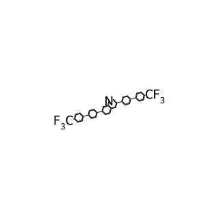 FC(F)(F)c1ccc(-c2ccc(-c3cnc4cc(-c5ccc(-c6ccc(C(F)(F)F)cc6)cc5)ccc4c3)cc2)cc1